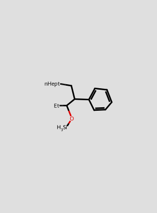 CCCCCCCCC(c1ccccc1)C(CC)O[SiH3]